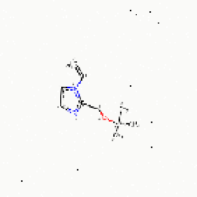 C=Cn1ccnc1CO[Si](C)(C)C